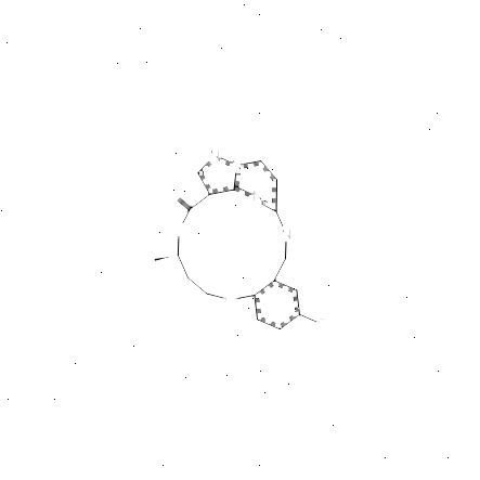 C[C@@H]1CCOc2ccc(F)cc2[C@@H](C)Nc2ccn3ncc(c3n2)C(=O)O1